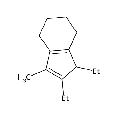 CCC1=C(C)C2=C(CCC[C]2)C1CC